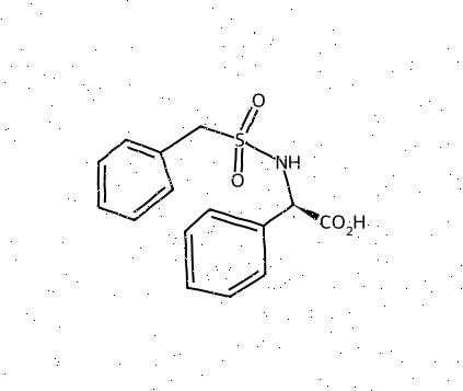 O=C(O)[C@H](NS(=O)(=O)Cc1ccccc1)c1ccccc1